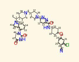 CC(C1CCN(CC2CCN(c3ccc(C(=O)N[C@H]4CC[C@H](Oc5ccc(C#N)c(Cl)c5)CC4)nn3)CC2)CC1)n1ccc2c(N3CCC(=O)NC3=O)cccc21